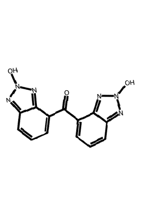 O=C(c1cccc2nn(O)nc12)c1cccc2nn(O)nc12